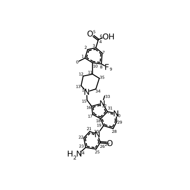 Cc1cc(C(=O)O)cc(F)c1C1CCN(Cc2cc3c(-n4ccc(N)cc4=O)ccnc3n2C)CC1